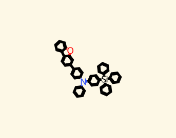 c1ccc(N(c2ccc(-c3ccc4c(c3)oc3ccccc34)cc2)c2ccc([Si](c3ccccc3)(c3ccccc3)c3ccccc3)cc2)cc1